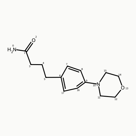 NC(=O)CCCc1ccc(N2CCOCC2)cc1